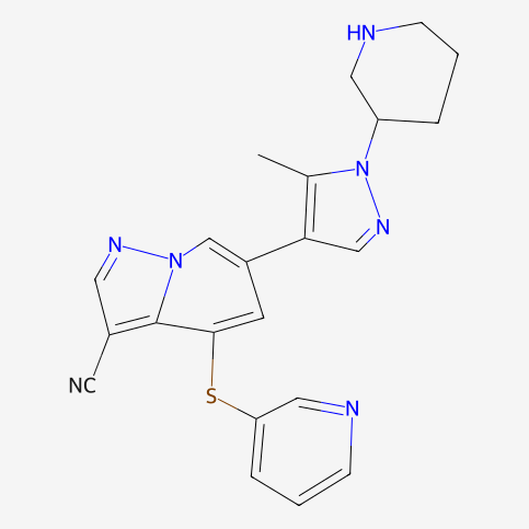 Cc1c(-c2cc(Sc3cccnc3)c3c(C#N)cnn3c2)cnn1C1CCCNC1